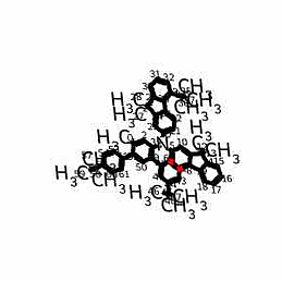 Cc1cc(N(c2ccc3c(c2)C(C)(C)c2ccccc2-3)c2ccc3c(c2)C(C)(C)c2cccc(C(C)(C)C)c2-3)c(-c2cccc(C(C)(C)C)c2)cc1-c1ccc(C(C)(C)C)cc1